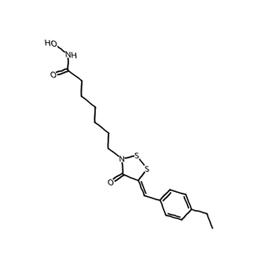 CCc1ccc(/C=C2\SSN(CCCCCCC(=O)NO)C2=O)cc1